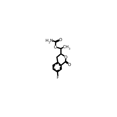 CC(OC(N)=O)C1Cc2ccc(F)cc2C(=O)O1